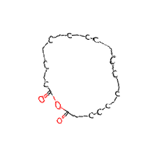 O=C1CCCCCCCCCCCCCCCCCCCCC(=O)O1